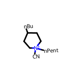 CCCCC[N+]1(C#N)CCC(CCCC)CC1